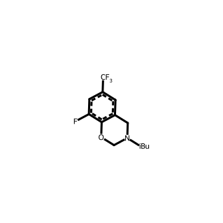 CCC(C)N1COc2c(F)cc(C(F)(F)F)cc2C1